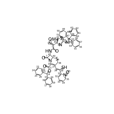 CON=C(C(=O)NC1C(=O)N2C(C(=O)OC(c3ccccc3)c3ccccc3)=C(C=C(S)c3cccc[n+]3[O-])CSC12)c1csc(NC(c2ccccc2)(c2ccccc2)c2ccccc2)n1